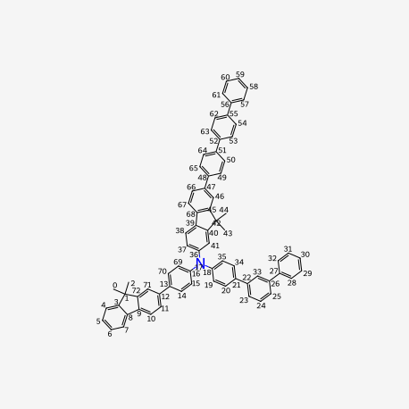 CC1(C)c2ccccc2-c2ccc(-c3ccc(N(c4ccc(-c5cccc(-c6ccccc6)c5)cc4)c4ccc5c(c4)C(C)(C)c4cc(-c6ccc(-c7ccc(-c8ccccc8)cc7)cc6)ccc4-5)cc3)cc21